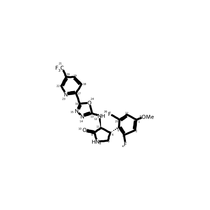 COc1cc(F)c([C@@H]2CNC(=O)[C@H]2Nc2nnc(-c3ccc(C(F)(F)F)cn3)o2)c(F)c1